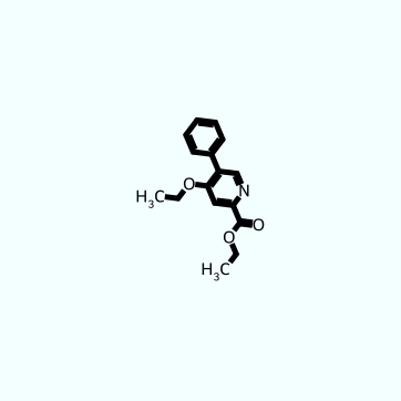 CCOC(=O)c1cc(OCC)c(-c2ccccc2)cn1